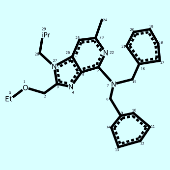 CCOCc1nc2c(N(Cc3ccccc3)Cc3ccccc3)nc(C)cc2n1CC(C)C